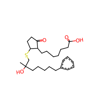 CC(O)(CCCCCc1ccccc1)CSC1CCC(=O)C1CCCCCCC(=O)O